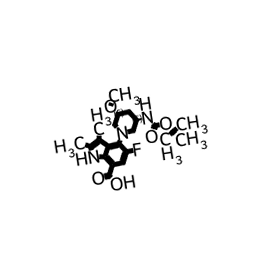 CO[C@H]1C[C@H](NC(=O)OC(C)(C)C)CN(c2c(F)cc(C(=O)O)c3[nH]c(C)c(C)c23)C1